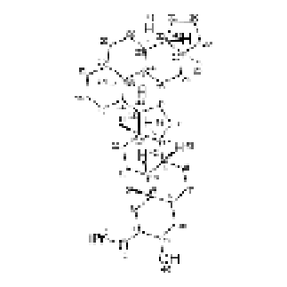 CC(C)OC1C[C@@]2(C)C(CC[C@@H]3[C@H]2CC[C@]2(C)C(C4CCCC5CC[C@@H]6[C@@H](CC[C@]7(C)CCC[C@@H]67)[C@]54C)CC[C@@H]32)CC1O